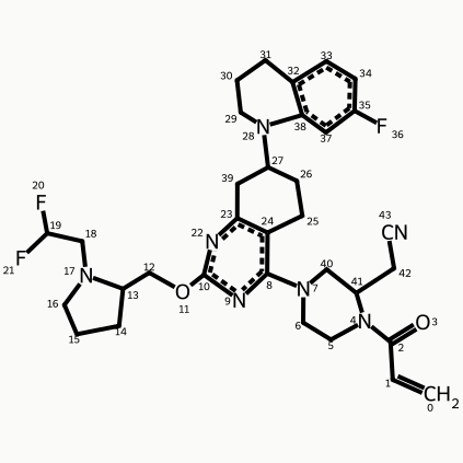 C=CC(=O)N1CCN(c2nc(OCC3CCCN3CC(F)F)nc3c2CCC(N2CCCc4ccc(F)cc42)C3)CC1CC#N